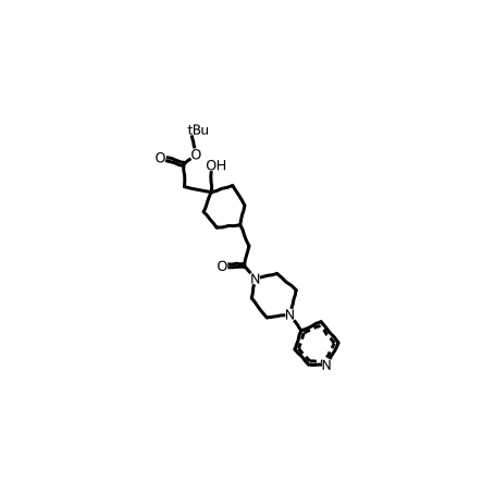 CC(C)(C)OC(=O)CC1(O)CCC(CC(=O)N2CCN(c3ccncc3)CC2)CC1